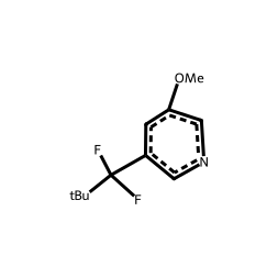 COc1cncc(C(F)(F)C(C)(C)C)c1